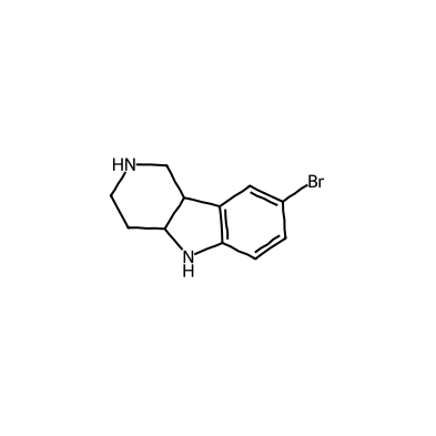 Brc1ccc2c(c1)C1CNCCC1N2